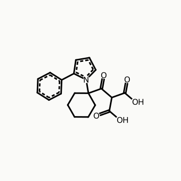 O=C(O)C(C(=O)O)C(=O)C1(n2cccc2-c2ccccc2)CCCCC1